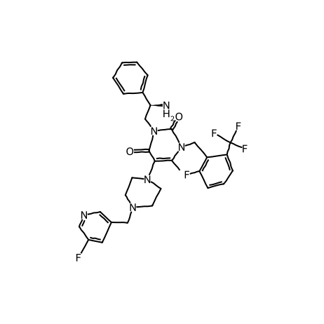 Cc1c(N2CCN(Cc3cncc(F)c3)CC2)c(=O)n(C[C@H](N)c2ccccc2)c(=O)n1Cc1c(F)cccc1C(F)(F)F